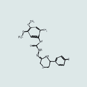 COc1cc(C)c(NC(=O)N/N=C2/CSCC(c3ccc(F)cc3)N2)cc1OC